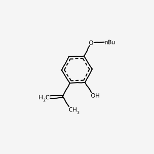 C=C(C)c1ccc(OCCCC)cc1O